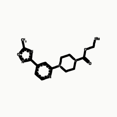 CC(C)(C)COC(=O)N1CCN(c2cc(-c3noc(C(F)(F)F)n3)ccn2)CC1